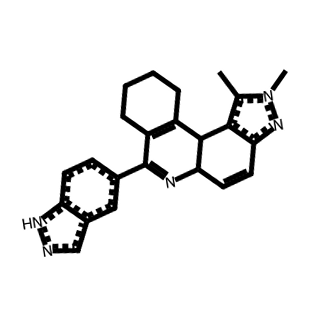 Cc1c2c(nn1C)C=CC1N=C(c3ccc4[nH]ncc4c3)C3=C(CCCC3)C21